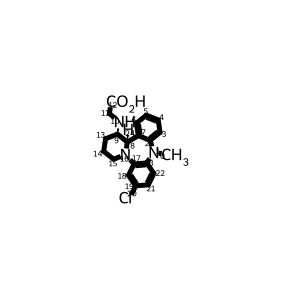 CN1c2ccccc2[C@@H]2[C@@H](NCC(=O)O)CCCN2c2cc(Cl)ccc21